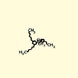 CCCCCCc1cc(CCCCCC)cc([Si](C)(C)[C]2C=CC(CCC)=C2)c1